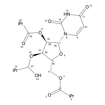 CC(C)C(=O)OC[C@H]1O[C@@H](n2ccc(=O)[nH]c2=O)[C@H](OC(=O)C(C)C)[C@@H]1OC(O)C(C)C